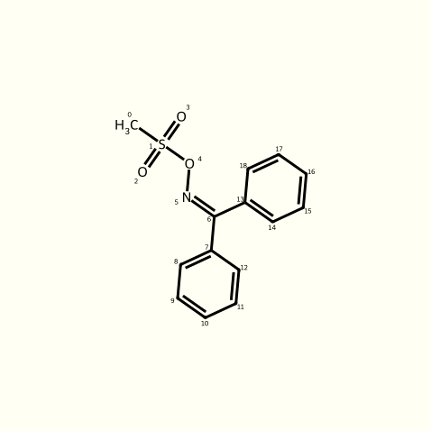 CS(=O)(=O)ON=C(c1ccccc1)c1ccccc1